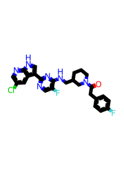 O=C(Cc1ccc(F)cc1)N1CCCC(CNc2nc(-c3c[nH]c4ncc(Cl)cc34)ncc2F)C1